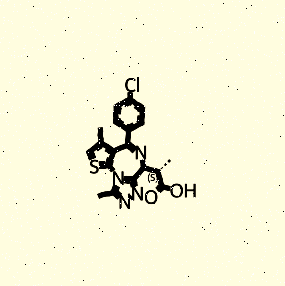 Cc1csc2c1C(c1ccc(Cl)cc1)=NC([C@H](C)C(=O)O)c1nnc(C)n1-2